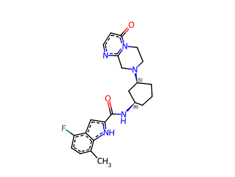 Cc1ccc(F)c2cc(C(=O)N[C@@H]3CCC[C@H](N4CCn5c(nccc5=O)C4)C3)[nH]c12